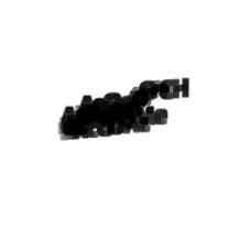 C#CCCOc1ccc(COC2(C(=O)OC)C[C@H](OC(C)=O)[C@@H](NC(C)=O)[C@H]([C@H](OC(C)=O)[C@@H](CNC(=O)c3cccc(Oc4ccccc4)c3)OC(C)=O)O2)cc1